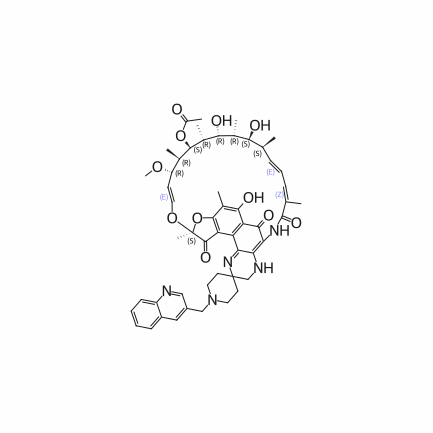 CO[C@H]1/C=C/O[C@@]2(C)Oc3c(C)c(O)c4c(c3C2=O)C2=NC3(CCN(Cc5cnc6ccccc6c5)CC3)CNC2=C(NC(=O)/C(C)=C\C=C\[C@H](C)[C@H](O)[C@@H](C)[C@@H](O)[C@@H](C)[C@H](OC(C)=O)[C@@H]1C)C4=O